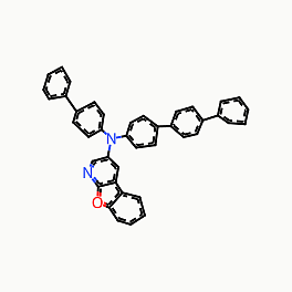 c1ccc(-c2ccc(-c3ccc(N(c4ccc(-c5ccccc5)cc4)c4cnc5oc6ccccc6c5c4)cc3)cc2)cc1